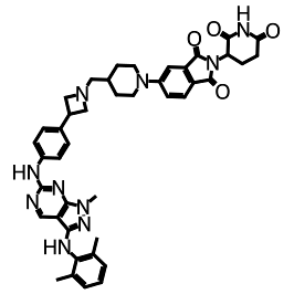 Cc1cccc(C)c1Nc1nn(C)c2nc(Nc3ccc(C4CN(CC5CCN(c6ccc7c(c6)C(=O)N(C6CCC(=O)NC6=O)C7=O)CC5)C4)cc3)ncc12